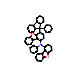 c1ccc(N(c2cccc3oc4ccccc4c23)c2ccc(C3(c4ccccc4)c4ccccc4-c4ccccc43)c3oc4ccccc4c23)cc1